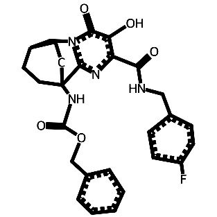 O=C(NC12CCC(CC1)Cn1c2nc(C(=O)NCc2ccc(F)cc2)c(O)c1=O)OCc1ccccc1